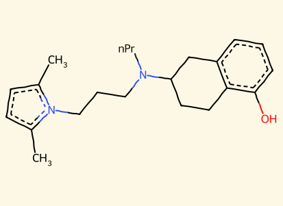 CCCN(CCCn1c(C)ccc1C)C1CCc2c(O)cccc2C1